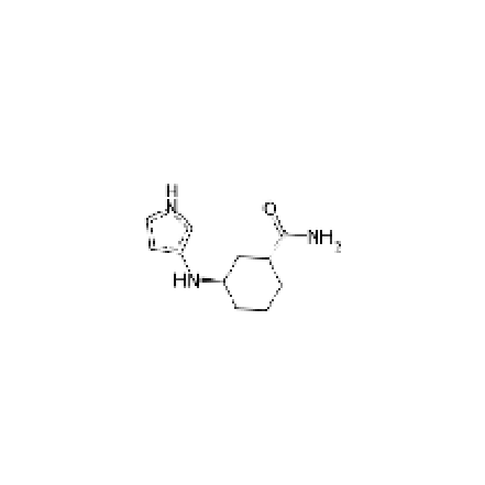 NC(=O)[C@@H]1CCC[C@@H](Nc2cc[nH]c2)C1